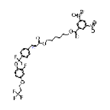 O=C(/C=C/c1ccc(C(F)(F)Oc2ccc(OCCC(F)(F)F)cc2F)cc1)OCCCCCCOC(=O)c1cc([N+](=O)[O-])cc([N+](=O)[O-])c1